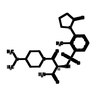 Cc1c(N2CCCC2=O)cccc1S(=O)(=O)N[C@@H](C(N)=O)C(=O)N1CCC(N(C)C)CC1